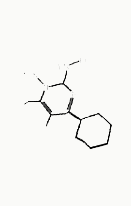 CCNC1N=C(C2CCCCC2)C(I)=C(C)N1N